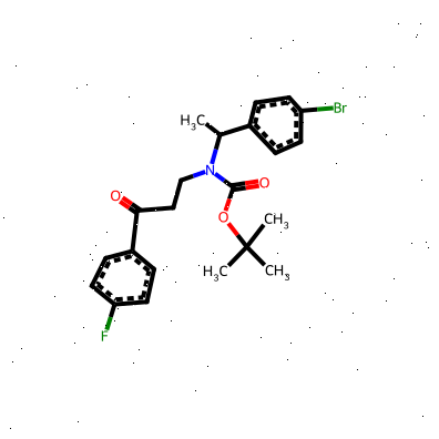 CC(c1ccc(Br)cc1)N(CCC(=O)c1ccc(F)cc1)C(=O)OC(C)(C)C